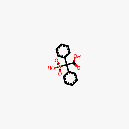 O=C(O)C(c1ccccc1)(c1ccccc1)S(=O)(=O)O